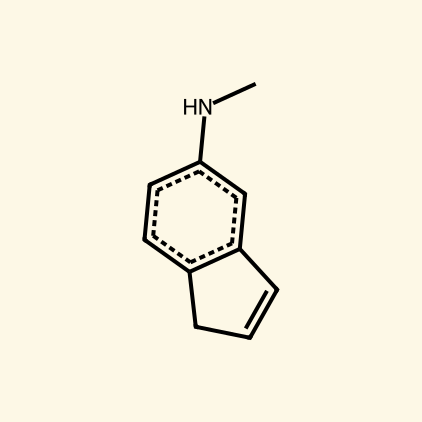 CNc1ccc2c(c1)C=CC2